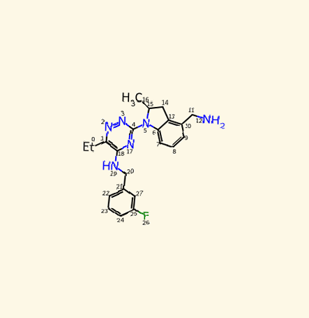 CCc1nnc(N2c3cccc(CN)c3CC2C)nc1NCc1cccc(F)c1